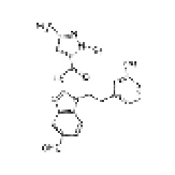 CCn1nc(C)cc1C(=O)Nc1nc2cc(C=O)ccc2n1CCc1cccc(O)c1